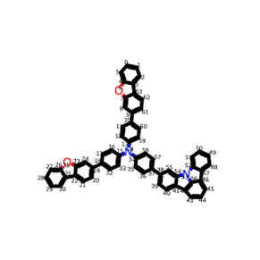 c1ccc2c(c1)oc1cc(-c3ccc(N(c4ccc(-c5ccc6c(c5)oc5ccccc56)cc4)c4ccc(-c5ccc6c7cccc8c9ccccc9n(c6c5)c87)cc4)cc3)ccc12